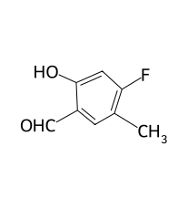 Cc1cc(C=O)c(O)cc1F